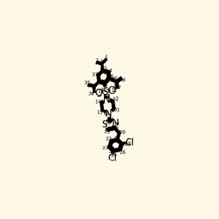 CC(C)c1cc(C(C)C)c(S(=O)(=O)N2CCN(c3nc(Cc4ccc(Cl)cc4Cl)cs3)CC2)c(C(C)C)c1